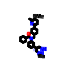 COc1ccc(C2CCC(CN(C(=O)C3CCCCC3)c3cccc(/C(C=N)=C/NC(C)(C)C)c3)CC2)nc1C